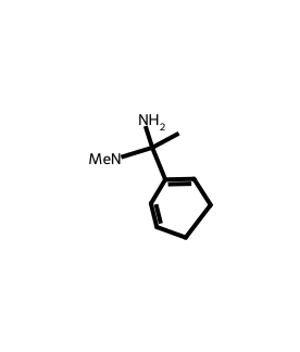 CNC(C)(N)C1=CCCC=C1